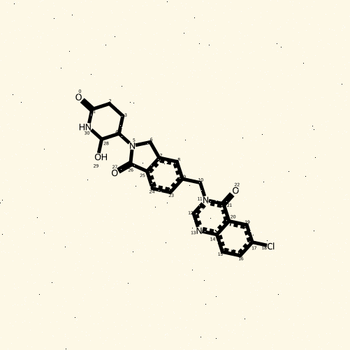 O=C1CCC(N2Cc3cc(Cn4cnc5ccc(Cl)cc5c4=O)ccc3C2=O)C(O)N1